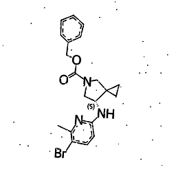 Cc1nc(N[C@@H]2CN(C(=O)OCc3ccccc3)CC23CC3)ccc1Br